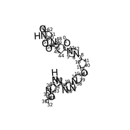 COc1c(N2CCN(CC3CCC(OC4CCN(c5cc(-c6n[nH]c7cnc(OC8(C)CC8)cc67)ncn5)CC4)CC3)CC2)ccc2c1CN(C1CCC(=O)NC1=O)C2=O